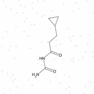 NC(=O)NC(=O)[CH]CC1CC1